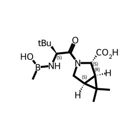 CB(O)N[C@H](C(=O)N1C[C@H]2[C@@H]([C@H]1C(=O)O)C2(C)C)C(C)(C)C